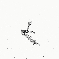 COc1cc2c(cc1OCCCN1CCN(C)CC1)[nH]c1ncnc(N3CCN(C(=S)Nc4ccc(S(N)(=O)=O)cc4)CC3)c12